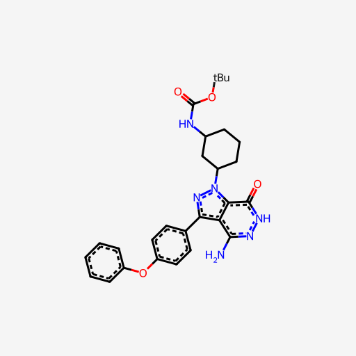 CC(C)(C)OC(=O)NC1CCCC(n2nc(-c3ccc(Oc4ccccc4)cc3)c3c(N)n[nH]c(=O)c32)C1